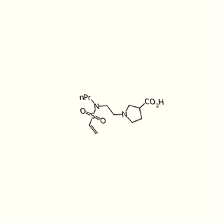 C=CS(=O)(=O)N(CCC)CCN1CCC(C(=O)O)C1